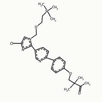 CC(=O)C(C)(C)COc1ccc(-c2ccc(-c3nc(Cl)cn3COCC[Si](C)(C)C)cn2)cc1